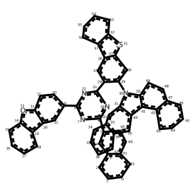 c1ccc2cc(-c3nc(-c4ccc5oc6ccccc6c5c4)nc(-c4cc5c(cc4-n4c6cc7ccccc7cc6c6c7ccccc7ccc64)sc4ccccc45)n3)ccc2c1